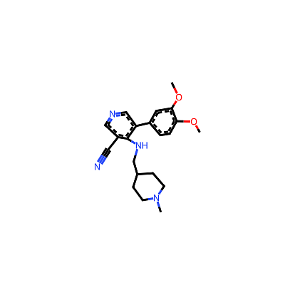 COc1ccc(-c2cncc(C#N)c2NCC2CCN(C)CC2)cc1OC